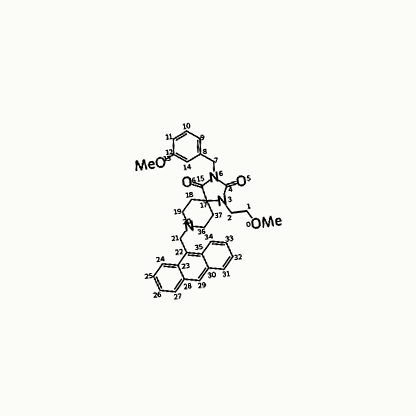 COCCN1C(=O)N(Cc2cccc(OC)c2)C(=O)C12CCN(Cc1c3ccccc3cc3ccccc13)CC2